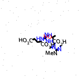 CC(O)C(=O)O.CN=C(NC)N(C)C.N=C(N)NC(CCC(=O)O)C(=O)O